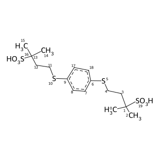 CC(C)(CCSc1ccc(SCCC(C)(C)S(=O)(=O)O)cc1)S(=O)(=O)O